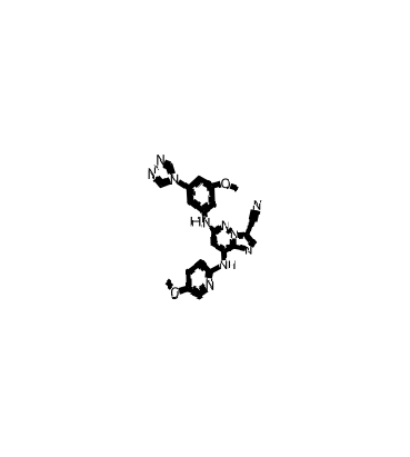 COc1ccc(Nc2cc(Nc3cc(OC)cc(-n4cnnc4)c3)nn3c(C#N)cnc23)nc1